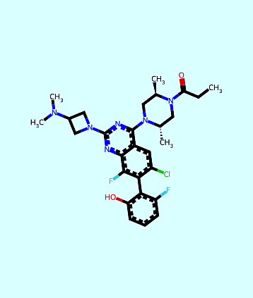 CCC(=O)N1C[C@H](C)N(c2nc(N3CC(N(C)C)C3)nc3c(F)c(-c4c(O)cccc4F)c(Cl)cc23)C[C@H]1C